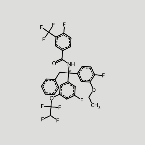 CCOc1cc([C@@](Cc2ccccc2)(NC(=O)c2ccc(F)c(C(F)(F)F)c2)c2cc(F)cc(OC(F)(F)C(F)F)c2)ccc1F